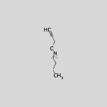 C#CCO/N=[C]/CCC